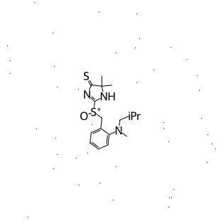 CC(C)CN(C)c1ccccc1C[S+]([O-])C1=NC(=S)C(C)(C)N1